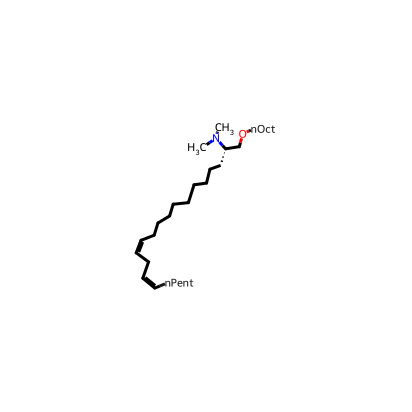 CCCCC/C=C\C/C=C\CCCCCCCCC[C@@H](COCCCCCCCC)N(C)C